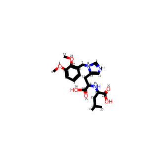 COc1cccc(Cn2cncc2CC(NC(CC(C)C)C(=O)O)C(=O)O)c1OC